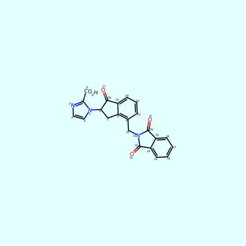 O=C(O)c1nccn1C1Cc2c(CN3C(=O)c4ccccc4C3=O)cccc2C1=O